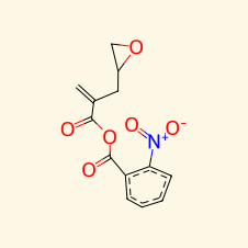 C=C(CC1CO1)C(=O)OC(=O)c1ccccc1[N+](=O)[O-]